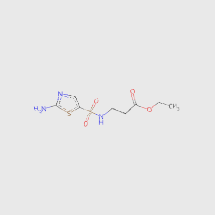 CCOC(=O)CCNS(=O)(=O)c1cnc(N)s1